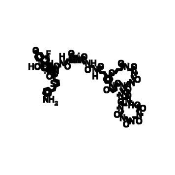 C[C@H](NC(=O)CNC(=O)CNC(=O)CCc1ccc(N2C(=O)C=CC2=O)cc1OCCCC(=O)N(C)CC(=O)N(C)CC(=O)N(C)CC(=O)N(C)CC(=O)N(C)CC(=O)N(C)CC(=O)N(C)CC(=O)N(C)CC(=O)N(C)CC(=O)N(C)CC(=O)O)C(=O)NCC(=O)NCOCC(=O)[C@@]12O[C@H](c3ccc(Cc4cccc(N)c4)s3)O[C@@H]1CC1[C@@H]3C[C@H](F)C4=CC(=O)C=C[C@]4(C)[C@@]3(F)[C@@H](O)C[C@@]12C